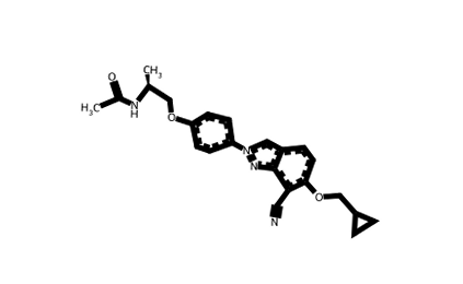 CC(=O)N[C@@H](C)COc1ccc(-n2cc3ccc(OCC4CC4)c(C#N)c3n2)cc1